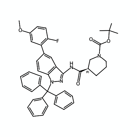 COc1ccc(F)c(-c2ccc3c(c2)c(NC(=O)[C@@H]2CCCN(C(=O)OC(C)(C)C)C2)nn3C(c2ccccc2)(c2ccccc2)c2ccccc2)c1